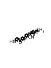 CC(C)(F)CN1CCC(COc2ccc(-c3ccc(C(=O)N4CCCC(O)C4)cc3F)cc2C#N)CC1